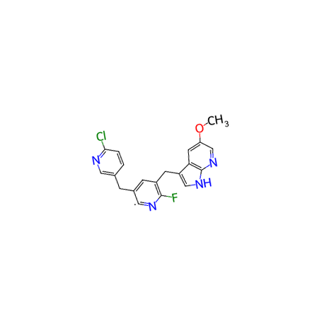 COc1cnc2[nH]cc(Cc3cc(Cc4ccc(Cl)nc4)[c]nc3F)c2c1